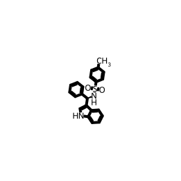 Cc1ccc(S(=O)(=O)N[C@H](c2ccccc2)c2c[nH]c3ccccc23)cc1